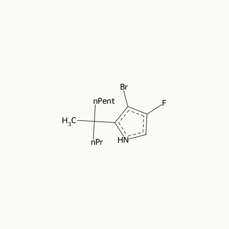 CCCCCC(C)(CCC)c1[nH]cc(F)c1Br